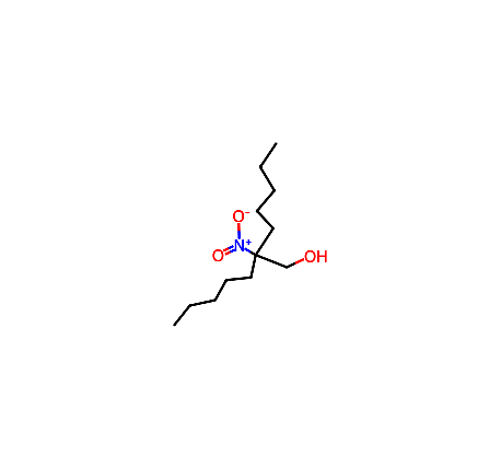 CCCCCC(CO)(CCCCC)[N+](=O)[O-]